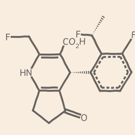 C[C@@H](F)c1c(F)cccc1[C@H]1C(C(=O)O)=C(CF)NC2=C1C(=O)CC2